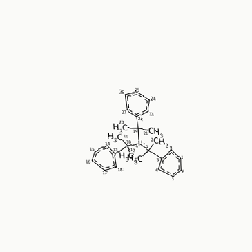 CC(C)(c1ccccc1)[I+](C(C)(C)c1ccccc1)C(C)(C)c1ccccc1